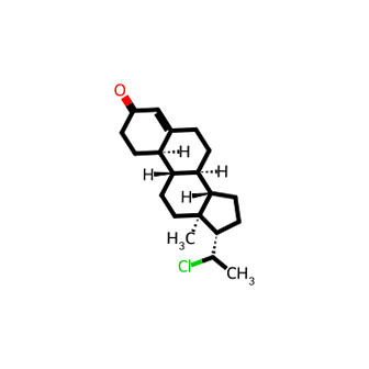 CC(Cl)[C@H]1CC[C@H]2[C@@H]3CCC4=CC(=O)CC[C@@H]4[C@H]3CC[C@]12C